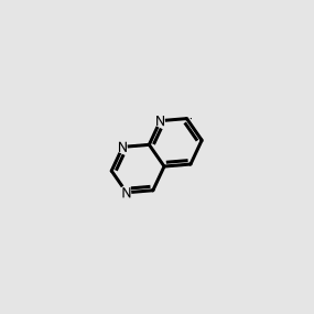 [c]1ccc2cncnc2n1